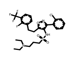 CCN(CC)CCCS(=O)(=O)Nc1c(-c2ccccc2Cl)noc1CCc1cccc(C(F)(F)F)c1F